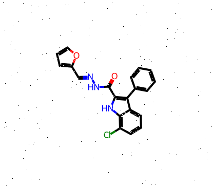 O=C(NN=Cc1ccco1)c1[nH]c2c(Cl)cccc2c1-c1ccccc1